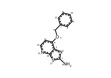 Nc1nc2c(OCc3ccccc3)ccnc2s1